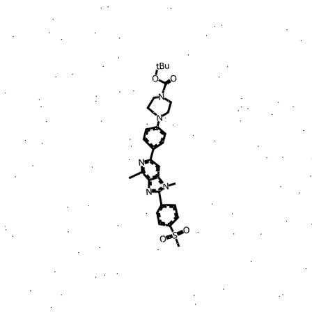 Cc1nc(-c2ccc(N3CCN(C(=O)OC(C)(C)C)CC3)cc2)cc2c1nc(-c1ccc(S(C)(=O)=O)cc1)n2C